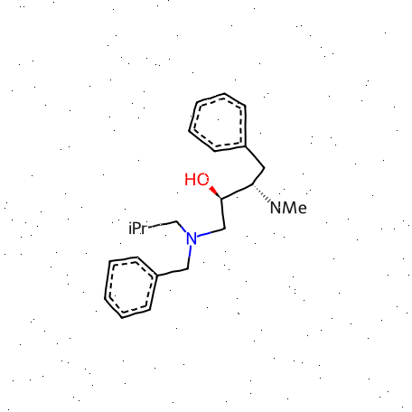 CN[C@@H](Cc1ccccc1)[C@H](O)CN(Cc1ccccc1)CC(C)C